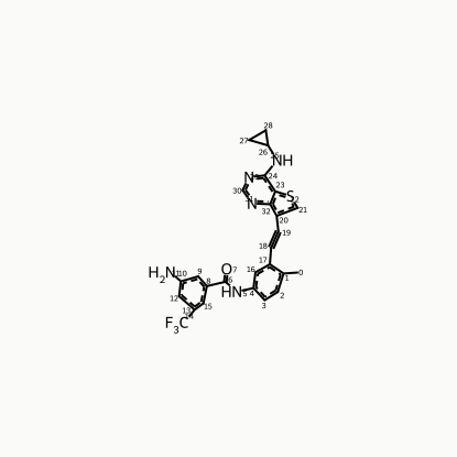 Cc1ccc(NC(=O)c2cc(N)cc(C(F)(F)F)c2)cc1C#Cc1csc2c(NC3CC3)ncnc12